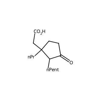 CCCCCC1C(=O)CCC1(CCC)CC(=O)O